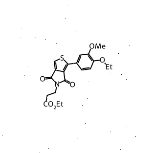 CCOC(=O)CCN1C(=O)c2csc(-c3ccc(OCC)c(OC)c3)c2C1=O